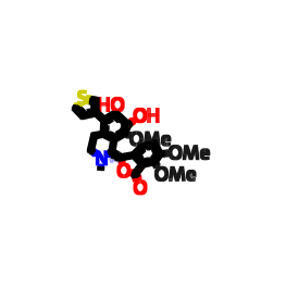 COc1ccc2c(c1OC)C(=O)O/C2=C1/c2c(c(-c3ccsc3)c(O)c(O)c2OC)CCN1C